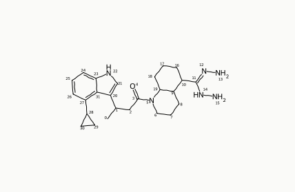 CC(CC(=O)N1CCCC2C(/C(=N/N)NN)CCCC21)c1c[nH]c2cccc(C3CC3)c12